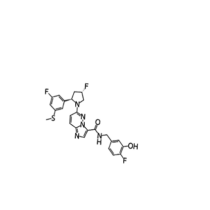 CSc1cc(F)cc([C@H]2C[C@H](F)CN2c2ccc3ncc(C(=O)NCc4ccc(F)c(O)c4)n3n2)c1